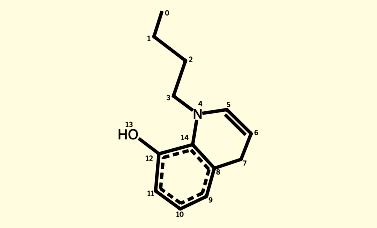 CCCCN1C=CCc2cccc(O)c21